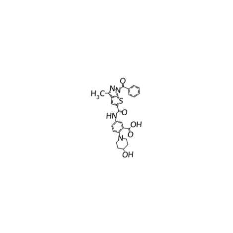 Cc1nn(C(=O)c2ccccc2)c2sc(C(=O)Nc3ccc(N4CCC(O)CC4)c(C(=O)O)c3)cc12